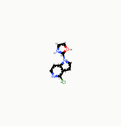 Clc1nccc2c1ccn2-c1ncco1